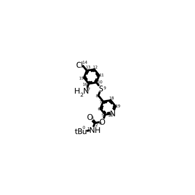 CC(C)(C)NC(=O)Oc1cc(CSc2ccc(Cl)cc2N)ccn1